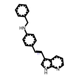 C(=C\c1c[nH]c2ncccc12)/c1ccc(NCc2ccccc2)cc1